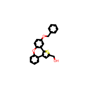 OCc1cc2c(s1)-c1cc(OCc3ccccc3)ccc1Oc1ccccc1-2